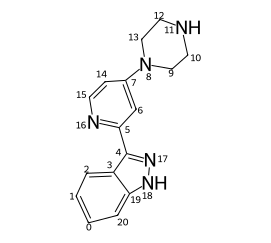 c1ccc2c(-c3cc(N4CCNCC4)ccn3)n[nH]c2c1